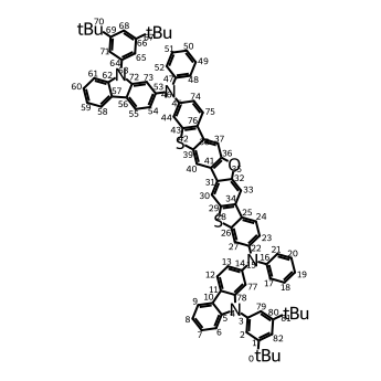 CC(C)(C)c1cc(-n2c3ccccc3c3ccc(N(c4ccccc4)c4ccc5c(c4)sc4cc6c(cc45)oc4cc5c(cc46)sc4cc(N(c6ccccc6)c6ccc7c8ccccc8n(-c8cc(C(C)(C)C)cc(C(C)(C)C)c8)c7c6)ccc45)cc32)cc(C(C)(C)C)c1